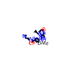 COc1cc(C(=O)NCCCN(C)C)ccc1Nc1ncc2c(n1)N(CC1CC1)CCC(=O)N2C